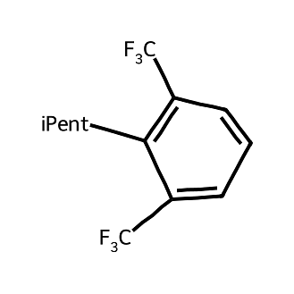 CCCC(C)c1c(C(F)(F)F)cccc1C(F)(F)F